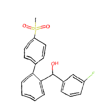 CS(=O)(=O)c1ccc(-c2ccccc2C(O)c2cccc(F)c2)cc1